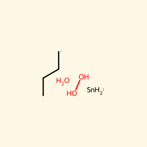 O.OO.[CH2]CCC.[SnH2]